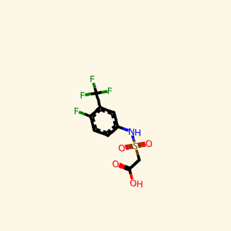 O=C(O)CS(=O)(=O)Nc1ccc(F)c(C(F)(F)F)c1